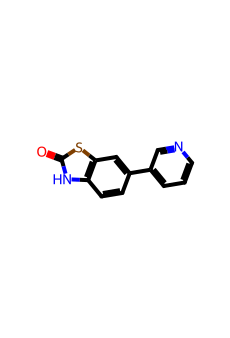 O=c1[nH]c2ccc(-c3cccnc3)cc2s1